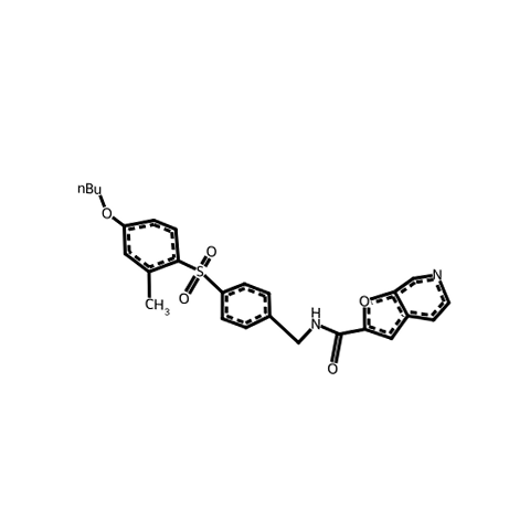 CCCCOc1ccc(S(=O)(=O)c2ccc(CNC(=O)c3cc4ccncc4o3)cc2)c(C)c1